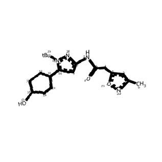 Cc1cc(CC(=O)Nc2cc(C3CCC(O)CC3)n(C(C)(C)C)n2)on1